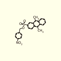 Cc1c2ccccc2c(C)c2cc(S(=O)(=O)OCc3ccc([N+](=O)[O-])cc3)ccc12